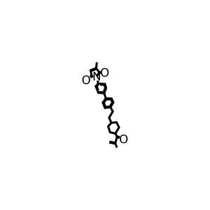 C=C(C)C(=O)C1CCC(CCc2ccc(-c3ccc(N4C(=O)C=C(C)C4=O)cc3)cc2)CC1